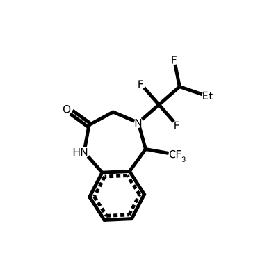 CCC(F)C(F)(F)N1CC(=O)Nc2ccccc2C1C(F)(F)F